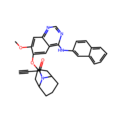 C#CC(=O)N1C2CCCC1CC(Oc1cc3c(Nc4ccc5ccccc5c4)ncnc3cc1OC)C2